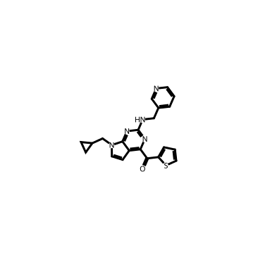 O=C(c1cccs1)c1nc(NCc2cccnc2)nc2c1ccn2CC1CC1